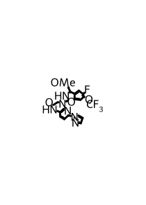 COCC(NC(=O)N1CC(=O)Nc2ccc(-n3cccn3)nc21)c1ccc(OC(F)(F)F)c(F)c1